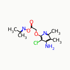 CC(C)=NOC(=O)COc1nc(C)c(C)c(N)c1Cl